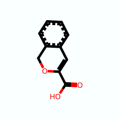 O=C(O)C1=Cc2ccccc2CO1